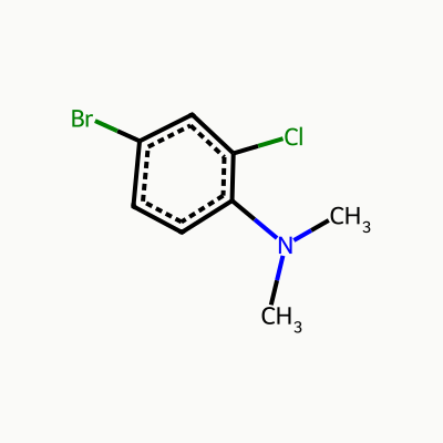 CN(C)c1ccc(Br)cc1Cl